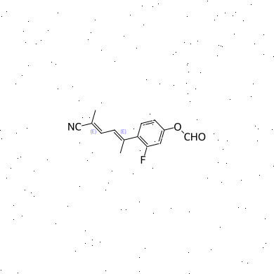 C/C(C#N)=C\C=C(/C)c1ccc(OC=O)cc1F